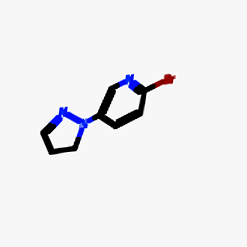 Brc1ccc(N2CCC=N2)cn1